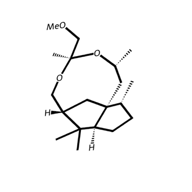 COC[C@]1(C)OC[C@@H]2C[C@@]3(C[C@@H](C)O1)[C@H](C)CC[C@H]3C2(C)C